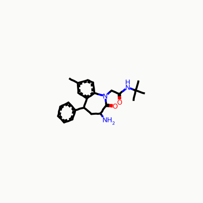 Cc1ccc2c(c1)C(c1ccccc1)CC(N)C(=O)N2CC(=O)NC(C)(C)C